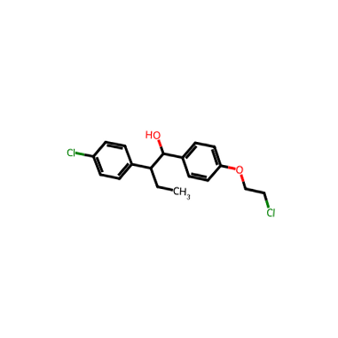 CCC(c1ccc(Cl)cc1)C(O)c1ccc(OCCCl)cc1